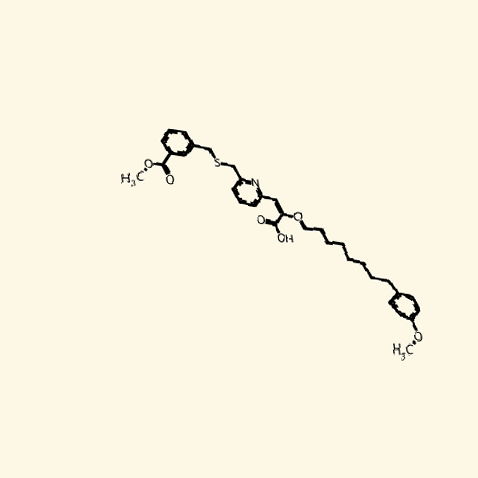 COC(=O)c1cccc(CSCc2cccc(/C=C(/OCCCCCCCCc3ccc(OC)cc3)C(=O)O)n2)c1